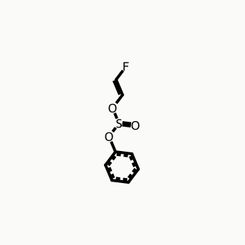 O=S(OC=CF)Oc1ccccc1